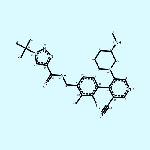 CN[C@@H]1CCCN(c2cncc(C#N)c2-c2ccc(CNC(=O)c3cn(C(C)(C)C)nn3)c(C)c2F)C1